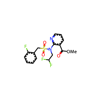 COC(=O)c1cccnc1N(CC(F)F)S(=O)(=O)Cc1ccccc1F